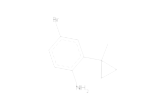 CC1(c2cc(Br)ccc2N)CC1